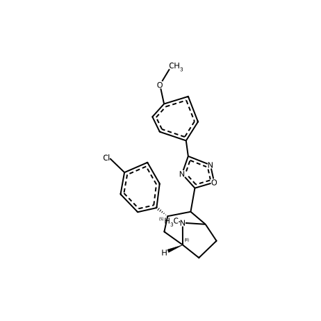 COc1ccc(-c2noc(C3C4CC[C@H](C[C@@H]3c3ccc(Cl)cc3)N4C)n2)cc1